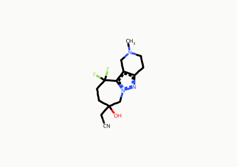 CN1CCc2nn3c(c2C1)C(F)(F)CCC(O)(CC#N)C3